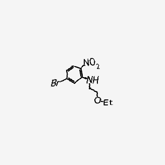 CCOCCNc1cc(Br)ccc1[N+](=O)[O-]